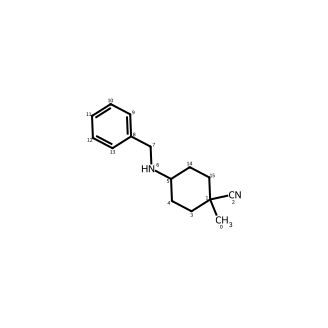 CC1(C#N)CCC(NCc2ccccc2)CC1